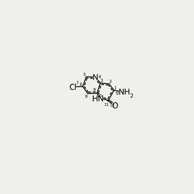 Nc1cc2ncc(Cl)cc2[nH]c1=O